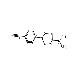 [C]#Cc1ccc(N2CCC(N(C)C)CC2)cc1